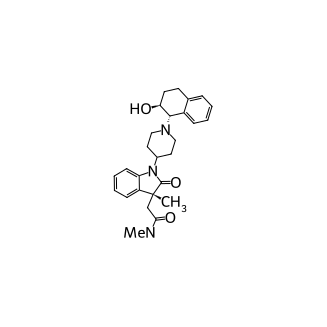 CNC(=O)C[C@@]1(C)C(=O)N(C2CCN([C@H]3c4ccccc4CC[C@@H]3O)CC2)c2ccccc21